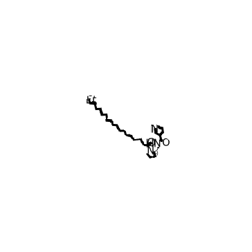 CCC=CCC=CCC=CCC=CCC=CCCCC(=O)N1CCC[C@H]1CNC(=O)c1cccnc1